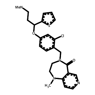 CNCCC(Oc1ccc(CN2CCN(C)c3ccncc3C2=O)c(Cl)c1)c1cccs1